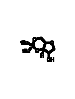 CC(C)(C)[Si]1(C(C)(C)C)OCC2OCC(O)[C@@H]2O1